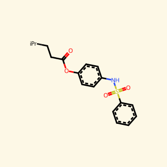 CC(C)CCC(=O)Oc1ccc(NS(=O)(=O)c2ccccc2)cc1